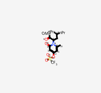 CCCC(CCC)CC(C(=O)OC)n1c(C)cc(OS(=O)(=O)C(F)(F)F)cc1=O